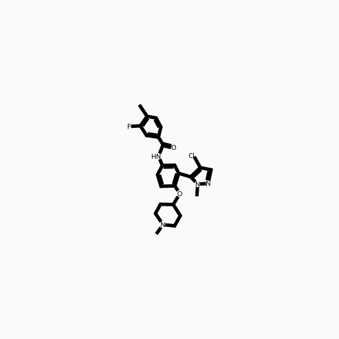 Cc1ccc(C(=O)Nc2ccc(OC3CCN(C)CC3)c(-c3c(Cl)cnn3C)c2)cc1F